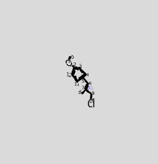 COc1ccc(/C=C(\C)CCl)cc1